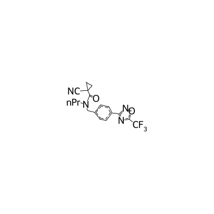 CCCN(Cc1ccc(-c2noc(C(F)(F)F)n2)cc1)C(=O)C1(C#N)CC1